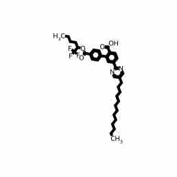 CCCCCCCCCCCCCc1cnc(-c2ccc(C(=O)O)c(-c3ccc(C(=O)OC(CCCC)C(F)(F)F)cc3)c2)nc1